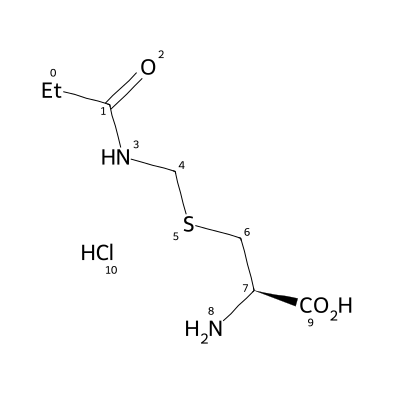 CCC(=O)NCSC[C@H](N)C(=O)O.Cl